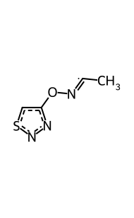 C[C]=NOc1csnn1